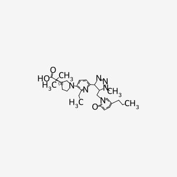 CCCc1ccc(=O)n(CC2C(c3ccc(N4CC[C@@H](C(C)(C)C(=O)O)C4)c(CC)n3)N=NN2C)c1